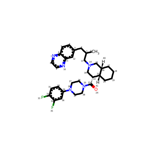 CC(Cc1ccc2nccnc2c1)CN1C[C@@H]2CCCC[C@@H]2[C@H](C(=O)N2CCN(c3ccc(F)c(F)c3)CC2)C1